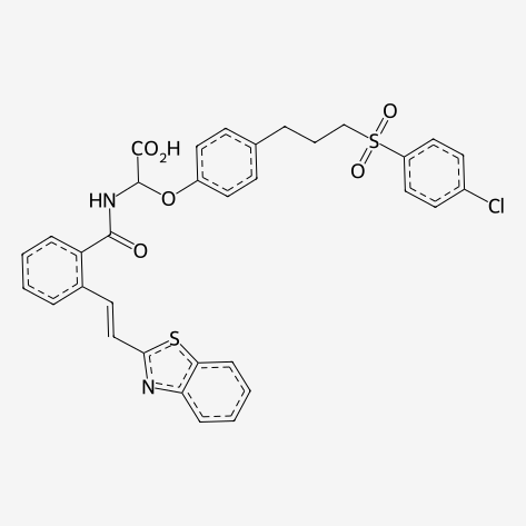 O=C(NC(Oc1ccc(CCCS(=O)(=O)c2ccc(Cl)cc2)cc1)C(=O)O)c1ccccc1C=Cc1nc2ccccc2s1